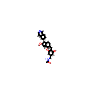 CO[C@@H]1C[C@H]2[C@@H]3OC4=C(C=C3CC[C@]2(C)[C@H]1c1ccc2cnccc2c1)C(=O)CC(CNC(C)=O)C4